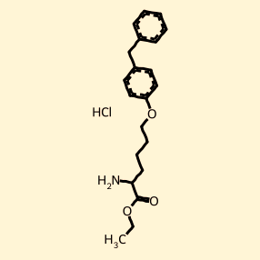 CCOC(=O)C(N)CCCCOc1ccc(Cc2ccccc2)cc1.Cl